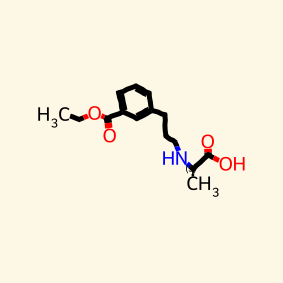 CCOC(=O)c1cccc(CCCN[C@@H](C)C(=O)O)c1